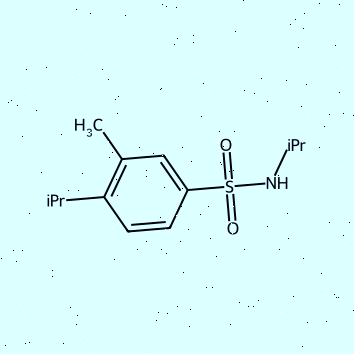 Cc1cc(S(=O)(=O)NC(C)C)ccc1C(C)C